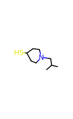 CC(C)CN1CCC(S)CC1